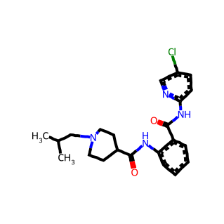 CC(C)CN1CCC(C(=O)Nc2ccccc2C(=O)Nc2ccc(Cl)cn2)CC1